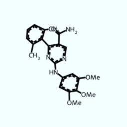 COc1cc(Nc2ncc(C(N)=O)c(-c3c(C)cccc3C)n2)cc(OC)c1OC